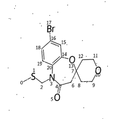 CSCN1C(=O)CC2(CCOCC2)Oc2cc(Br)ccc21